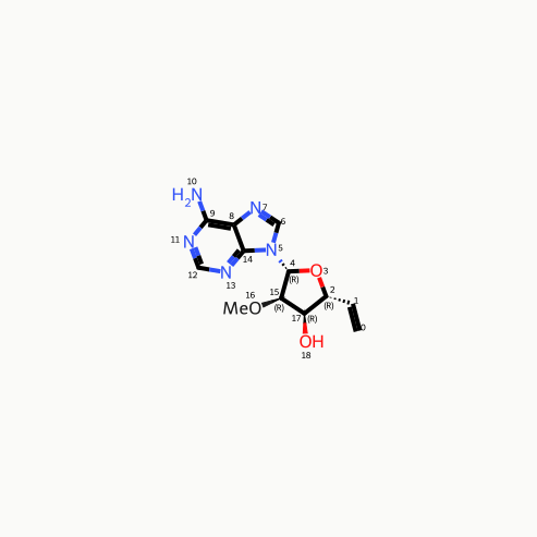 C=C[C@H]1O[C@@H](n2cnc3c(N)ncnc32)[C@H](OC)[C@@H]1O